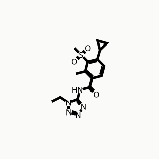 CCn1nnnc1NC(=O)c1ccc(C2CC2)c(S(C)(=O)=O)c1C